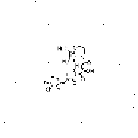 CC1C(C)C12OCCCN1C(=O)c3c(O)c(=O)c(C(=O)NCc4ccc(F)c(Cl)c4F)cn3CC12